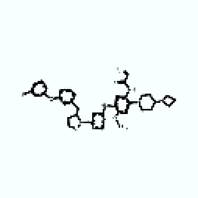 C=CC(=O)Nc1cc(Nc2cc(N3OCCC3Cc3cccc(Oc4cccc(F)c4)c3)ncn2)c(OC)cc1N1CCC(N2CCC2)CC1